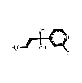 CC=CC(O)(O)c1ccnc(Cl)c1